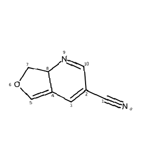 N#CC1=CC2=COCC2N=C1